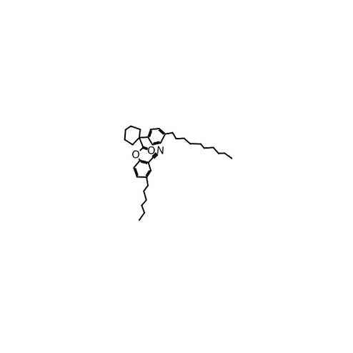 CCCCCCCCCCc1ccc(C2(C(=O)Oc3ccc(CCCCCC)cc3C#N)CCCCC2)cc1